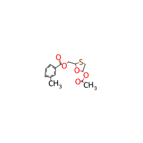 CC(=O)OC1CSC(COC(=O)c2cccc(C)c2)O1